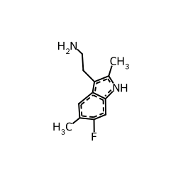 Cc1cc2c(CCN)c(C)[nH]c2cc1F